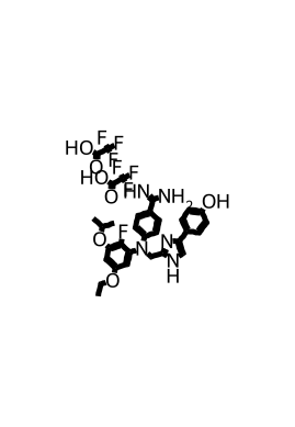 CCOc1cc(OC(C)C)c(F)c(N(Cc2nc(-c3ccc(O)cc3)c[nH]2)c2ccc(C(=N)N)cc2)c1.O=C(O)C(F)(F)F.O=C(O)C(F)(F)F